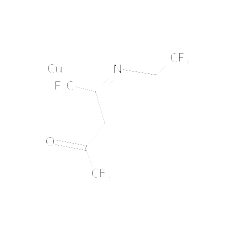 O=C(CC(=NCC(F)(F)F)C(F)(F)F)C(F)(F)F.[Cu]